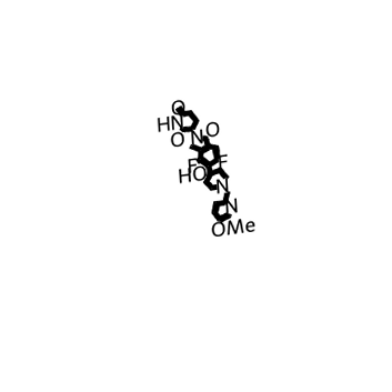 COc1ccc(CN2CCC(O)(c3c(F)cc4c(c3F)CN(C3CCC(=O)NC3=O)C4=O)CC2)nc1